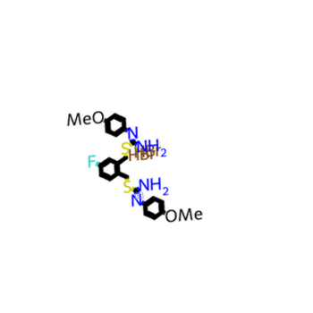 Br.Br.COc1ccc(N=C(N)SCc2cc(F)ccc2CS/C(N)=N/c2ccc(OC)cc2)cc1